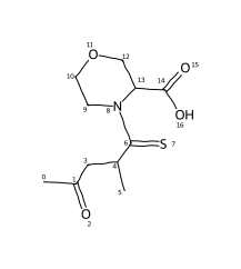 CC(=O)CC(C)C(=S)N1CCOCC1C(=O)O